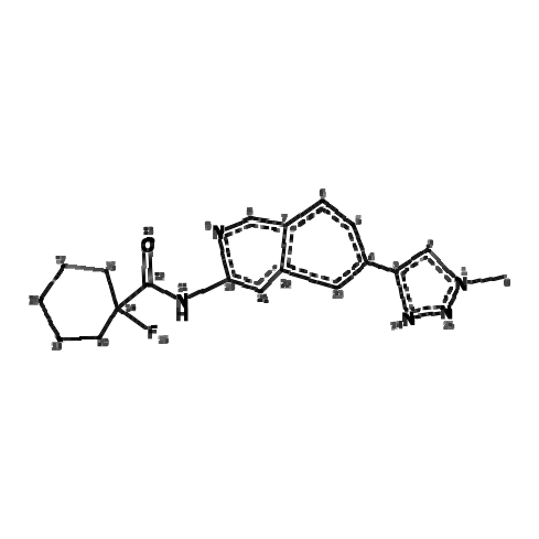 Cn1cc(-c2ccc3cnc(NC(=O)C4(F)CCCCC4)cc3c2)nn1